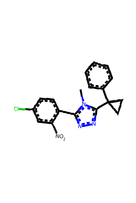 Cn1c(-c2ccc(Cl)cc2[N+](=O)[O-])nnc1C1(c2ccccc2)CC1